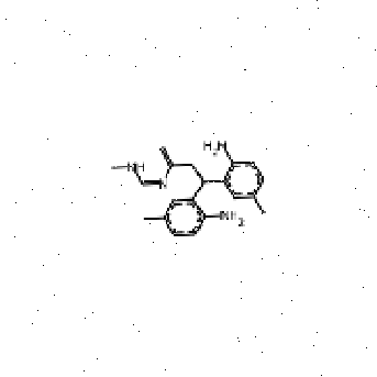 C=C(CC(c1cc(C)ccc1N)c1cc(C)ccc1N)/N=C\NC